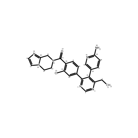 CCc1ncnc(-c2ccc(C(=O)N3CCn4ccnc4C3)c(Cl)c2)c1-c1ccc(N)nc1